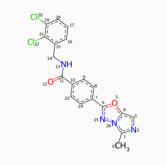 Cc1ncc2oc(-c3ccc(C(=O)NCc4cccc(Cl)c4Cl)cc3)nn12